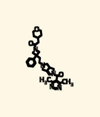 Cc1ncnc(C)c1C(=O)N1C=C2CN(CCC3(c4ccccc4)CN(C(=O)CC4CCOCC4)C3)CC2C1